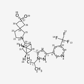 CC(C)n1nc(-c2cncc(C(F)(F)F)c2)cc1[C@]12C3C(N4CCC5(C4)CS(=O)(=O)C5)C[C@@H]1[C@H]32